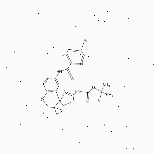 CC(C)(C)OC(=O)NC1=NC2(CO1)c1cc(NC(=O)c3ncc(Cl)cc3F)ccc1OCC21CC1